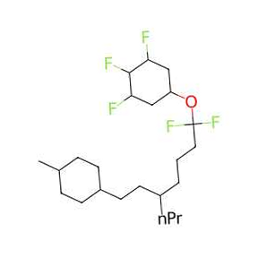 CCCC(CCCC(F)(F)OC1CC(F)C(F)C(F)C1)CCC1CCC(C)CC1